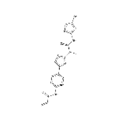 C=CC(=O)Nc1ccc(-c2csc(C(C)C(=O)Nc3ncc(C(C)=O)s3)c2)cn1